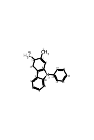 CC1=Cc2c(c3ccccc3n2-c2ccccc2)CC1C